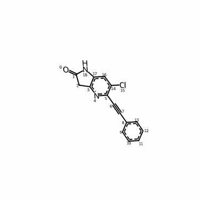 O=C1Cc2nc(C#Cc3ccccc3)c(Cl)cc2N1